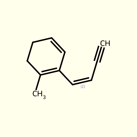 C#C/C=C\C1=C(C)CCC=C1